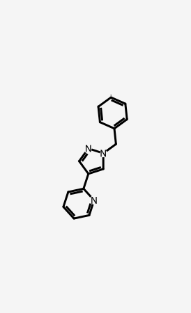 [c]1ccc(Cn2cc(-c3ccccn3)cn2)cc1